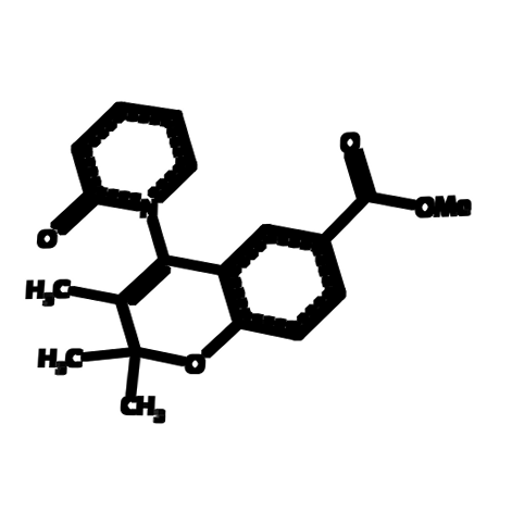 COC(=O)c1ccc2c(c1)C(n1ccccc1=O)=C(C)C(C)(C)O2